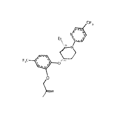 C=C(C)COc1cc(C(F)(F)F)ccc1O[C@H]1CCN(c2ccc(C(F)(F)F)cn2)[C@@H](CC)C1